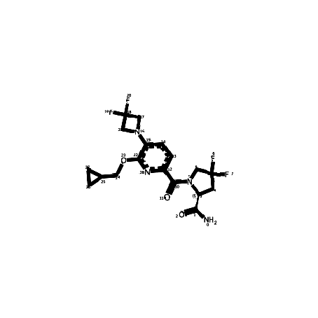 NC(=O)[C@@H]1CC(F)(F)CN1C(=O)c1ccc(N2CC(F)(F)C2)c(OCC2CC2)n1